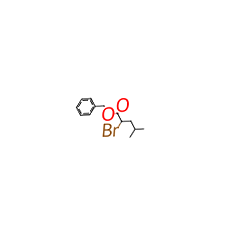 CC(C)C[C@@H](Br)C(=O)OCc1ccccc1